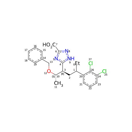 CCC(C[C@H](c1nc(C(=O)O)n[nH]1)[C@H](C)OCc1ccccc1)c1cccc(Cl)c1Cl